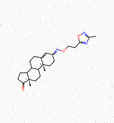 Cc1noc(CCON=C2C=C3CCC4C(CC[C@]5(C)C(=O)CCC45)[C@@]3(C)CC2)n1